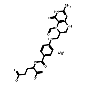 Nc1nc2c(c(=O)[nH]1)N(C=O)C(CNc1ccc(C(=O)NC(CCC(=O)[O-])C(=O)[O-])cc1)CN2.[Mg+2]